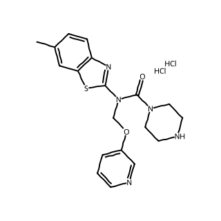 Cc1ccc2nc(N(COc3cccnc3)C(=O)N3CCNCC3)sc2c1.Cl.Cl